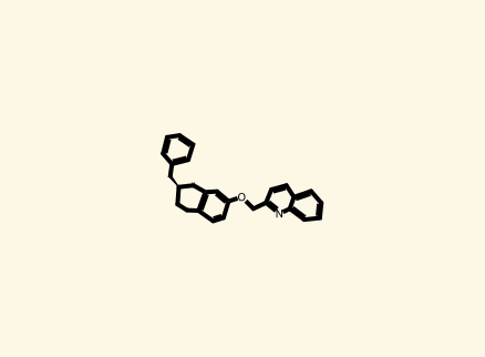 [C]1c2cc(OCc3ccc4ccccc4n3)ccc2CC[C@H]1Cc1ccccc1